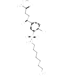 CCCCCCCCNS(=O)(=O)c1cc(C(=O)CCC(=O)NC)ccc1Cl